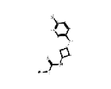 CC(C)(C)OC(=O)N[C@H]1C[C@H](Oc2ccc(Br)nc2)C1